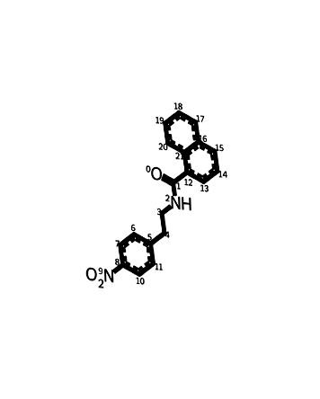 O=C(NCCc1ccc([N+](=O)[O-])cc1)c1cccc2ccccc12